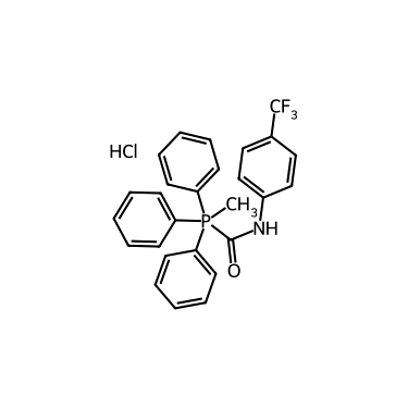 CP(C(=O)Nc1ccc(C(F)(F)F)cc1)(c1ccccc1)(c1ccccc1)c1ccccc1.Cl